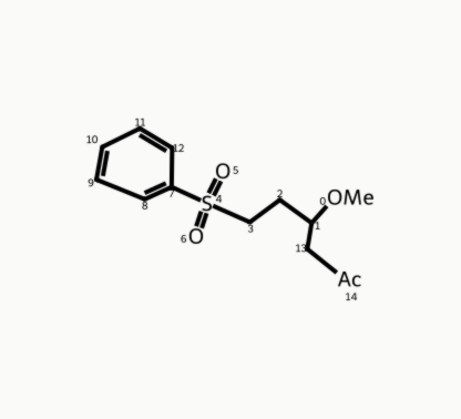 COC(CCS(=O)(=O)c1ccccc1)CC(C)=O